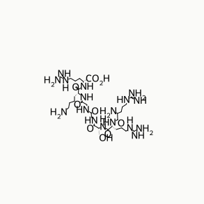 N=C(N)NCCC[C@H](N)C(=O)N[C@H](CCCNC(=N)N)C(=O)N[C@H](CO)C(=O)NCC(=O)NCC(=O)N[C@H](CCCCN)C(=O)N[C@H](CCCNC(=N)N)C(=O)O